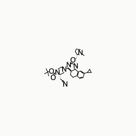 CN1CCC[C@H]1COc1nc2c(c(N3CCN(C(=O)OC(C)(C)C)[C@@H](CC#N)C3)n1)CCc1ccc(C3CC3)cc1-2